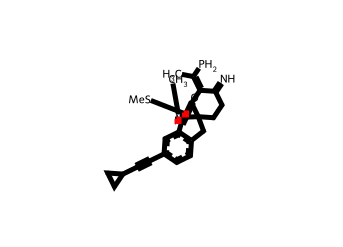 CSC1=NC2(C(=O)N1C)c1cc(C#CC3CC3)ccc1CC21CCC(=N)/C(=C(/C)P)C1